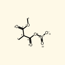 COC(=O)C(C)C(=O)O[N+](=O)[O-]